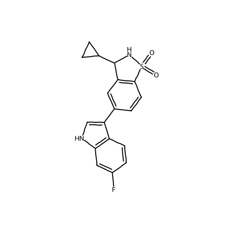 O=S1(=O)NC(C2CC2)c2cc(-c3c[nH]c4cc(F)ccc34)ccc21